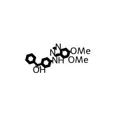 COc1cc2ncnc(Nc3ccc([C@H](O)c4ccccc4)cc3)c2cc1OC